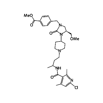 COC[C@@H]1CN(Cc2ccc(C(=O)OC)cc2)C(=O)N1C1CCN(CCC(C)NC(=O)c2c(C)cc(Cl)nc2C)CC1